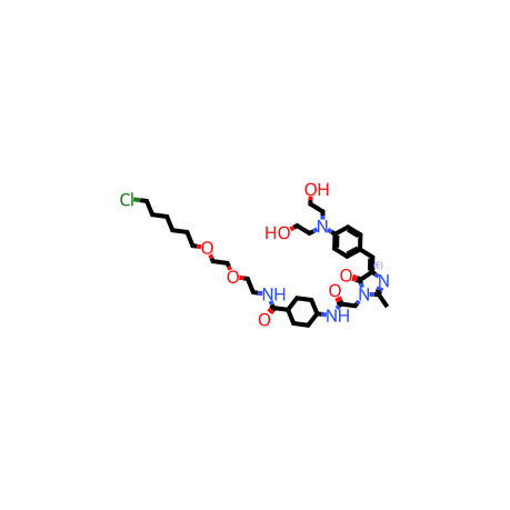 CC1=N/C(=C/c2ccc(N(CCO)CCO)cc2)C(=O)N1CC(=O)NC1CCC(C(=O)NCCOCCOCCCCCCCl)CC1